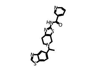 CC(c1ccc2scnc2c1)N1CCc2nc(NC(=O)c3cccnc3)sc2C1